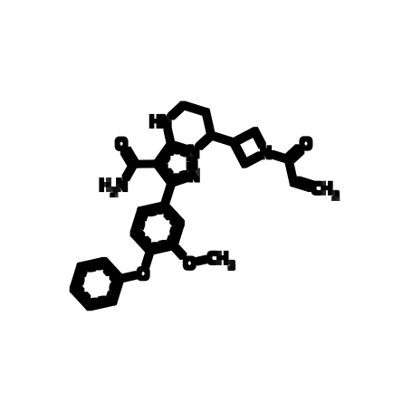 C=CC(=O)N1CC(C2CCNc3c(C(N)=O)c(-c4ccc(Oc5ccccc5)c(OC)c4)nn32)C1